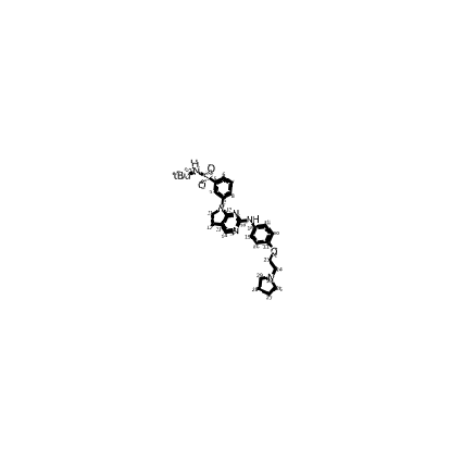 CC(C)(C)NS(=O)(=O)c1cccc(N2CCc3cnc(Nc4ccc(OCCN5CCCC5)cc4)nc32)c1